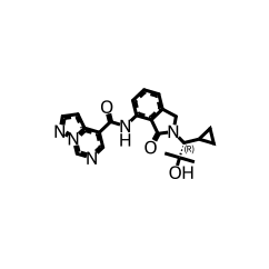 CC(C)(O)[C@@H](C1CC1)N1Cc2cccc(NC(=O)c3cncn4nccc34)c2C1=O